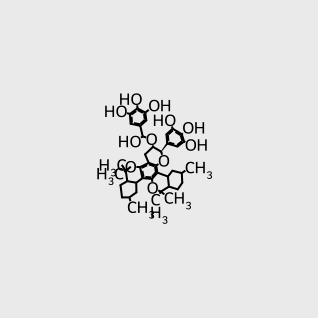 CC1CCC2C(C1)c1c(c3c(c4c1OC(C)(C)C1CCC(C)CC41)O[C@H](c1cc(O)c(O)c(O)c1)[C@H](OC(O)c1cc(O)c(O)c(O)c1)C3)OC2(C)C